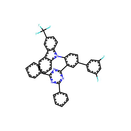 Fc1cc(F)cc(-c2ccc(-n3c4ccccc4c4cc(C(F)(F)F)ccc43)c(-c3nc(-c4ccccc4)nc(-c4ccccc4)n3)c2)c1